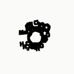 CO[C@@]1(c2cnccn2)/C=C/C[C@H](C)[C@@H](C)S(=O)(=O)NC(=O)c2ccc3c(c2)N(C[C@@H]2CC[C@H]21)C[C@@]1(CCCc2cc(Cl)ccc21)CO3